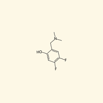 CN(C)Cc1cc(F)c(F)cc1O